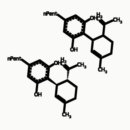 C=C(C)C1CCC(C)=CC1c1c(O)cc(CCCCC)cc1O.C=C(C)[C@@H]1CCC(C)=C[C@H]1c1c(O)cc(CCCCC)cc1O